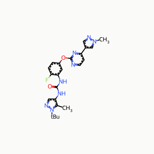 Cc1c(NC(=O)Nc2cc(Oc3nccc(-c4cnn(C)c4)n3)ccc2F)cnn1C(C)(C)C